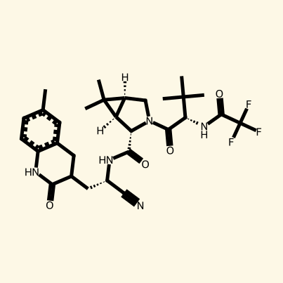 Cc1ccc2c(c1)CC(C[C@@H](C#N)NC(=O)[C@@H]1[C@@H]3[C@H](CN1C(=O)[C@@H](NC(=O)C(F)(F)F)C(C)(C)C)C3(C)C)C(=O)N2